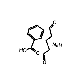 O=C(O)c1ccccc1.O=CCCCC=O.[NaH]